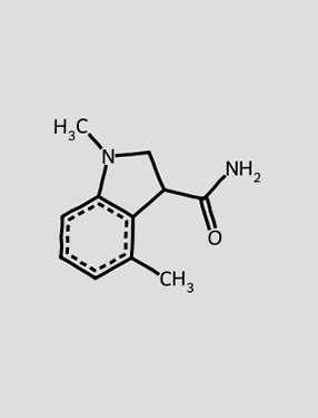 Cc1cccc2c1C(C(N)=O)CN2C